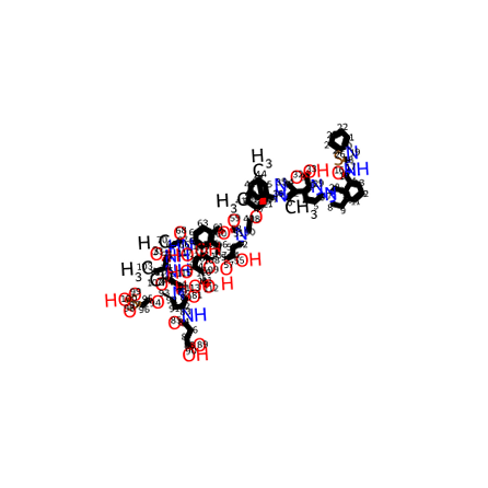 Cc1c(-c2ccc(N3CCc4cccc(C(=O)Nc5nc6ccccc6s5)c4C3)nc2C(=O)O)cnn1CC12CC3(C)CC(C)(C1)CC(OCCN(CC[C@H](O)CO)C(=O)OCc1ccc(NC(=O)[C@H](C)NC(=O)[C@@H](NC(=O)CN4C(=O)[C@@H](NC(=O)CCC(=O)O)C[C@H]4COCCS(=O)(=O)O)C(C)C)cc1CC[C@@H]1O[C@H](C(=O)O)[C@@H](O)[C@H](O)[C@H]1O)(C3)C2